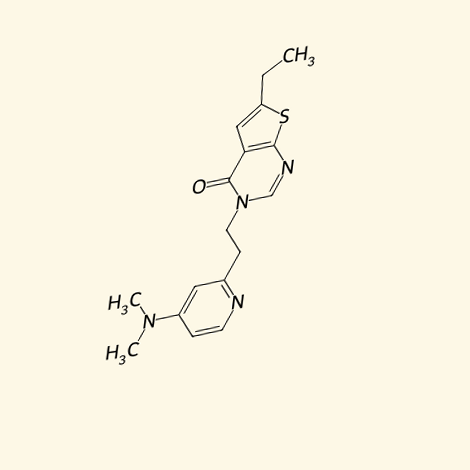 CCc1cc2c(=O)n(CCc3cc(N(C)C)ccn3)cnc2s1